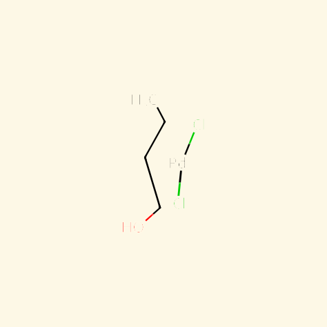 CCCCO.[Cl][Pd][Cl]